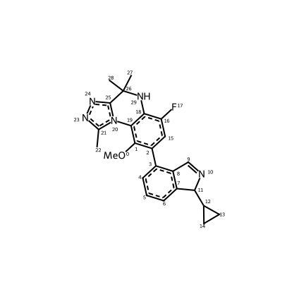 COc1c(-c2cccc3c2C=NC3C2CC2)cc(F)c2c1-n1c(C)nnc1C(C)(C)N2